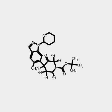 [2H]C1N(C(=O)OC(C)(C)C)C([2H])([2H])C(=O)C([2H])(c2cc3c(cnn3C3CCCCO3)cc2C)C1([2H])[2H]